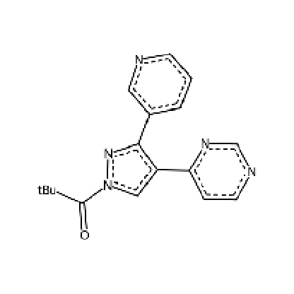 CC(C)(C)C(=O)n1cc(-c2ccncn2)c(-c2cccnc2)n1